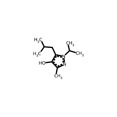 Cc1nn(C(C)C)c(CC(C)C)c1O